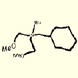 COC[Si](COC)(C1CCCCC1)C(C)(C)C